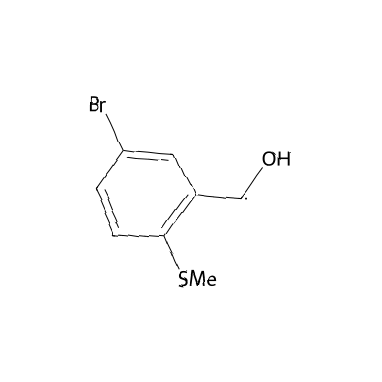 CSc1ccc(Br)cc1[CH]O